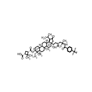 CC(C)C1=C2[C@H]3CC[C@@H]4[C@@]5(C)CC[C@H](OC(=O)[C@H]6C[C@@H](C(=O)O)C6(C)C)C(C)(C)[C@@H]5CC[C@@]4(C)[C@]3(C)CC[C@@]2([C@@H](O)CNCC(C)(C)NC(=O)c2ccc(C(F)(F)F)cc2)CC1=O